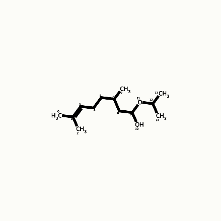 CC(C)=CCCC(C)CC(O)OC(C)C